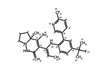 C=C1NN2CCCC2(C)C(P)=C1/C(=C/C)Nc1ccc(C(C)(C)F)cc1-c1ccc(C(F)(F)F)nc1